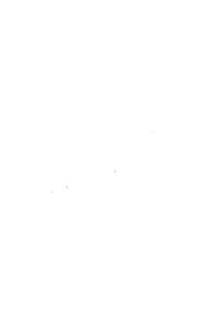 CC(C)(C)OC(=O)CCOCCOCCOCCOCC[N+](C)(C)C.[Br-]